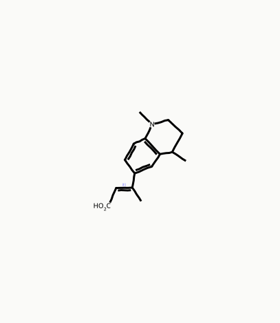 C/C(=C\C(=O)O)c1ccc2c(c1)C(C)CCN2C